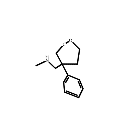 CNCC1(c2ccccc2)CCOCC1